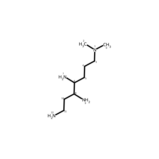 CN(C)CCCC(N)C(N)CCN